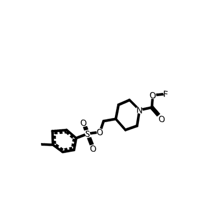 Cc1ccc(S(=O)(=O)OCC2CCN(C(=O)OF)CC2)cc1